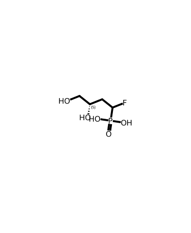 O=P(O)(O)C(F)C[C@H](O)CO